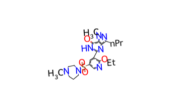 CCCc1nn(C)c2c(=O)[nH]c(-c3cc(S(=O)(=O)N4CCCN(C)CC4)cnc3OCC)nc12